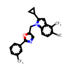 [C-]#[N+]c1ccc2c(cc(C3CC3)n2Cc2cnc(-c3cccc(C(F)(F)F)c3)o2)c1C(F)(F)F